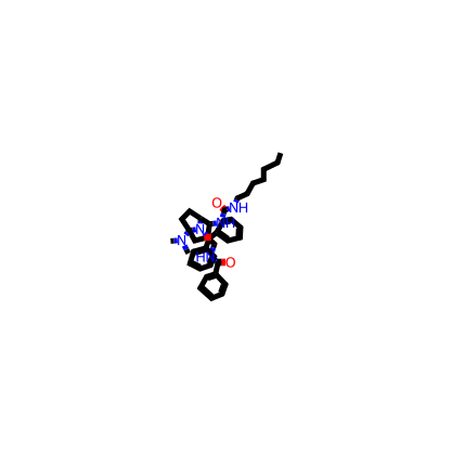 CCCCCCCNC(=O)NC1C(CNC(=O)c2ccccc2)CC2(N(C)C)CCC1N2C(c1ccccc1)c1ccccc1